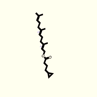 CC(C)=CCC/C(C)=C/CC/C(C)=C/COC(=O)CCCC1CC1